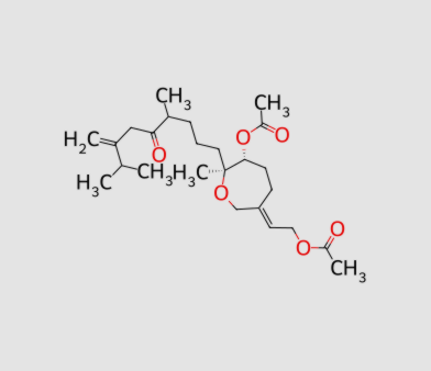 C=C(CC(=O)C(C)CCC[C@]1(C)OC/C(=C/COC(C)=O)CC[C@H]1OC(C)=O)C(C)C